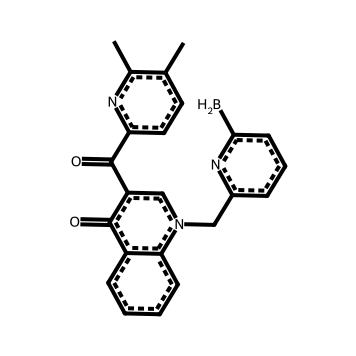 Bc1cccc(Cn2cc(C(=O)c3ccc(C)c(C)n3)c(=O)c3ccccc32)n1